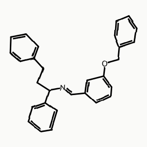 C(=NC(CCc1ccccc1)c1ccccc1)c1cccc(OCc2ccccc2)c1